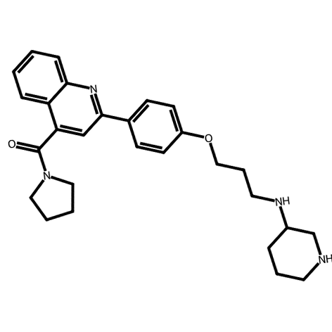 O=C(c1cc(-c2ccc(OCCCNC3CCCNC3)cc2)nc2ccccc12)N1CCCC1